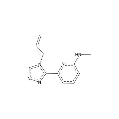 C=CCn1cnnc1-c1cccc(NC)n1